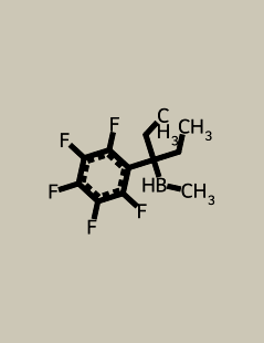 CBC(CC)(CC)c1c(F)c(F)c(F)c(F)c1F